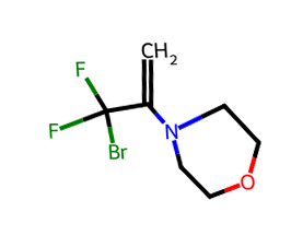 C=C(N1CCOCC1)C(F)(F)Br